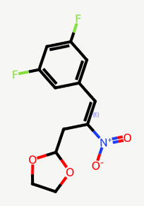 O=[N+]([O-])/C(=C/c1cc(F)cc(F)c1)CC1OCCO1